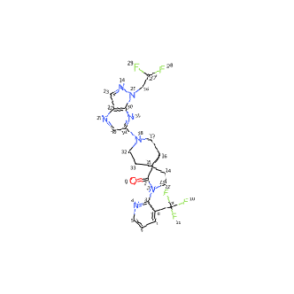 O=C1N(c2ncccc2C(F)(F)F)CCC12CCN(c1cnc3cnn(CC(F)F)c3n1)CC2